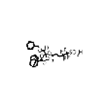 O=C(OC(OCCCC(F)(F)C(F)(F)S(=O)(=O)O)(C(=O)OCc1ccccc1)C(F)(F)F)C12CC3CC(CC(C3)C1)C2